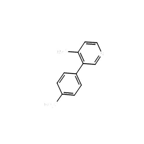 COc1ccncc1-c1ccc(C(=O)O)cc1